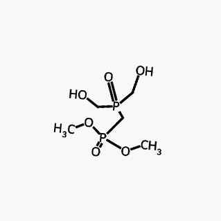 COP(=O)(CP(=O)(CO)CO)OC